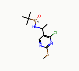 CSc1ncc(C(C)N[S@@+]([O-])C(C)(C)C)c(Cl)n1